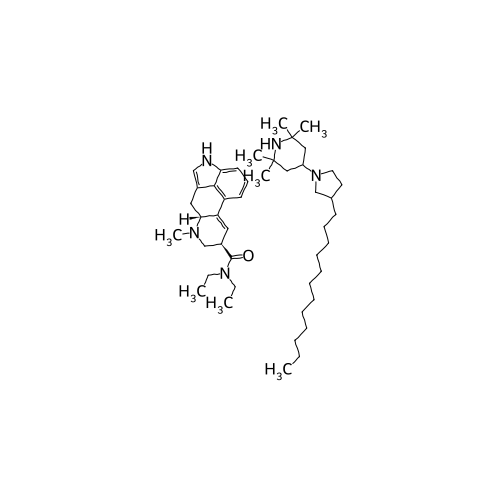 CCCCCCCCCCCCC1CCN(C2CC(C)(C)NC(C)(C)C2)C1.CCN(CC)C(=O)[C@@H]1C=C2c3cccc4[nH]cc(c34)C[C@H]2N(C)C1